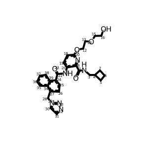 O=C(NCC1CCC1)c1nc(OCCOCCO)ccc1NC(=O)c1ccc(Cn2ccnn2)c2ccccc12